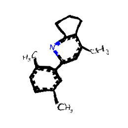 Cc1ccc(C)c(-c2cc(C)c3c(n2)CCC3)c1